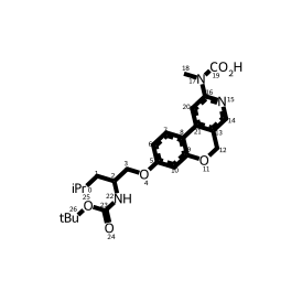 CC(C)CC(COc1ccc2c(c1)OCc1cnc(N(C)C(=O)O)cc1-2)NC(=O)OC(C)(C)C